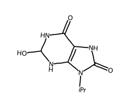 CC(C)n1c2c([nH]c1=O)C(=O)NC(O)N2